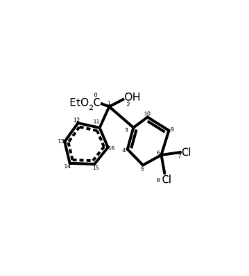 CCOC(=O)C(O)(C1=CCC(Cl)(Cl)C=C1)c1ccccc1